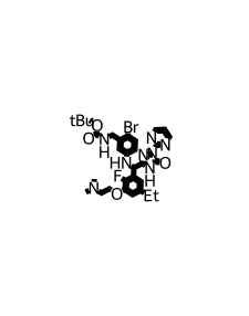 CCc1cc(OCCN(C)C)c(F)c(C(Nc2ccc(Br)c(CNC(=O)OC(C)(C)C)c2)c2nn(-c3ncccn3)c(=O)[nH]2)c1